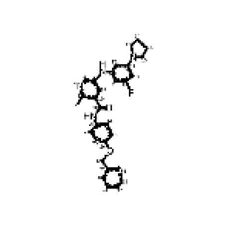 Cc1ncc(Nc2cc(F)cc(N3CCCC3)c2)cc1C(=O)Nc1ccc(OCc2ccccn2)cc1